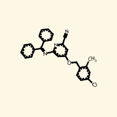 Cc1cc(Cl)ccc1COc1cc(C#N)nc(N=C(c2ccccc2)c2ccccc2)c1